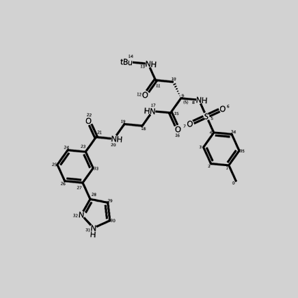 Cc1ccc(S(=O)(=O)N[C@@H](CC(=O)NC(C)(C)C)C(=O)NCCNC(=O)c2cccc(-c3cc[nH]n3)c2)cc1